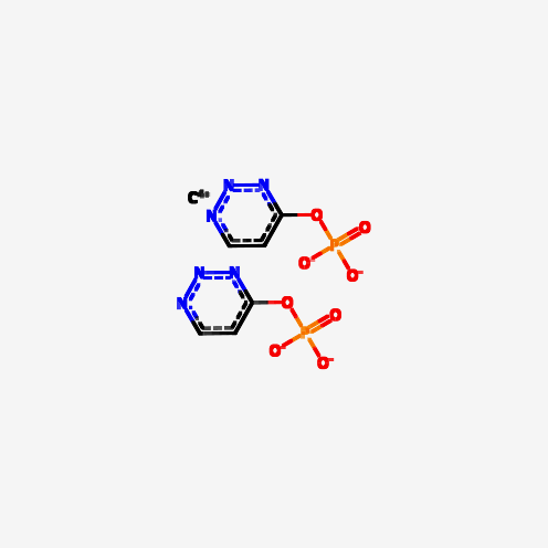 O=P([O-])([O-])Oc1ccnnn1.O=P([O-])([O-])Oc1ccnnn1.[C+4]